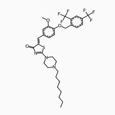 CCCCCCCCN1CCN(C2=NC(=O)C(=Cc3ccc(OCc4ccc(C(F)(F)F)cc4C(F)(F)F)c(OC)c3)S2)CC1